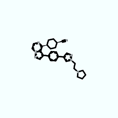 N#C[C@H]1CC[C@@H](c2nccn3ncc(-c4ccc(-c5cnn(CCN6CCCC6)c5)cc4)c23)CC1